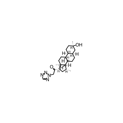 C[C@@H]1C[C@H](C(=O)Cn2ncnn2)[C@@]2(C)CC[C@H]3[C@@H](CC[C@@H]4C[C@](C)(O)CC[C@@H]43)[C@H]12